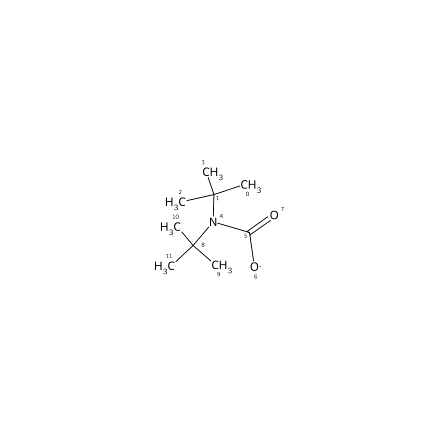 CC(C)(C)N(C([O])=O)C(C)(C)C